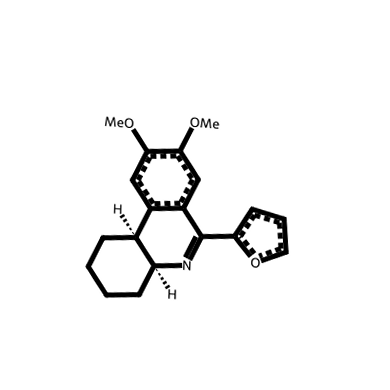 COc1cc2c(cc1OC)[C@@H]1CCCC[C@@H]1N=C2c1ccco1